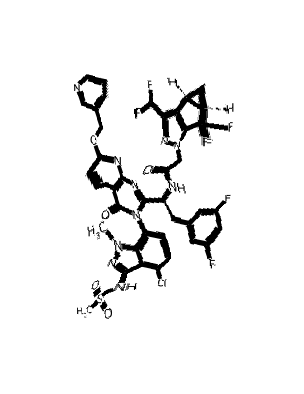 Cn1nc(NS(C)(=O)=O)c2c(Cl)ccc(-n3c([C@H](Cc4cc(F)cc(F)c4)NC(=O)Cn4nc(C(F)F)c5c4C(F)(F)[C@@H]4C[C@H]54)nc4nc(OCc5cccnc5)ccc4c3=O)c21